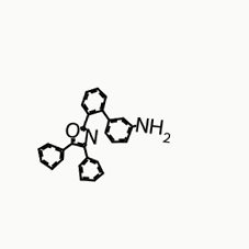 Nc1cccc(-c2ccccc2-c2nc(-c3ccccc3)c(-c3ccccc3)o2)c1